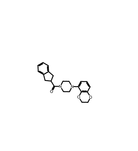 O=C(C1Cc2ccccc2C1)N1CCN(c2cccc3c2OCCO3)CC1